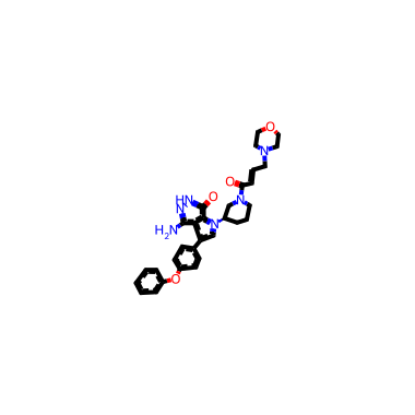 Nc1n[nH]c(=O)c2c1c(-c1ccc(Oc3ccccc3)cc1)cn2[C@@H]1CCCN(C(=O)C=CCN2CCOCC2)C1